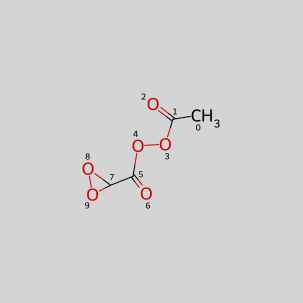 CC(=O)OOC(=O)C1OO1